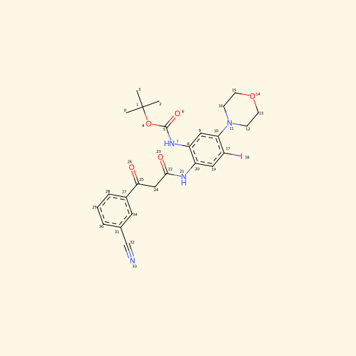 CC(C)(C)OC(=O)Nc1cc(N2CCOCC2)c(I)cc1NC(=O)CC(=O)c1cccc(C#N)c1